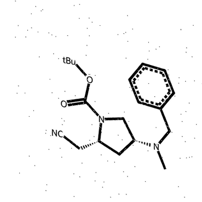 CN(Cc1ccccc1)[C@@H]1C[C@H](CC#N)N(C(=O)OC(C)(C)C)C1